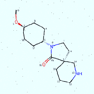 CO[C@H]1CC[C@H](N2CC[C@]3(CCCNC3)C2=O)CC1